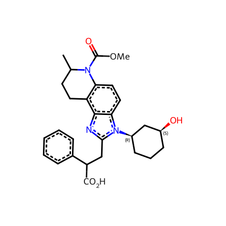 COC(=O)N1c2ccc3c(nc(CC(C(=O)O)c4ccccc4)n3[C@@H]3CCC[C@H](O)C3)c2CCC1C